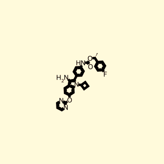 C[C@@H](OC(=O)Nc1ccc(-c2c(N)c3ccc(Oc4ncccn4)cc3n2C2CCC2)cc1)c1ccc(F)cc1